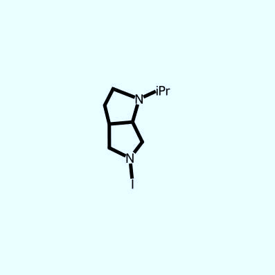 CC(C)N1CCC2CN(I)CC21